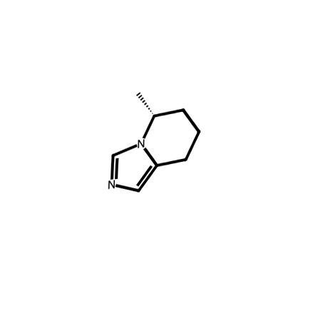 C[C@@H]1CCCc2cncn21